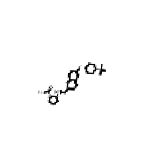 CC(C)(C)[C@H]1CC[C@H](Oc2ccc3nc(CN[C@@H]4CCC[C@@H]4C(=O)O)ccc3c2)CC1